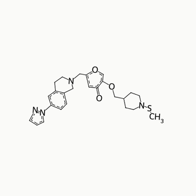 CSN1CCC(COc2coc(CN3CCc4cc(-n5cccn5)ccc4C3)cc2=O)CC1